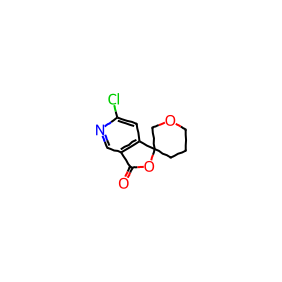 O=C1OC2(CCCOC2)c2cc(Cl)ncc21